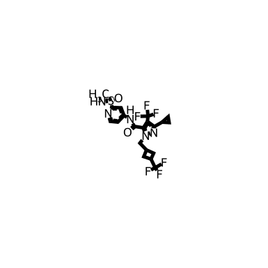 CS(=N)(=O)c1cc(NC(=O)c2c(C(F)(F)F)c(C3CC3)nn2CC2CC(C(F)(F)F)C2)ccn1